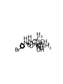 CC(C)C[C@H](NC(=O)Nc1ccc(Br)cc1)C(=O)NCP(=O)(O)OC(C)C